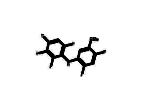 COc1cc(Bc2c(F)cc(F)c(F)c2F)c(F)cc1F